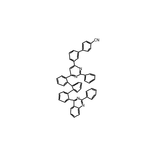 N#Cc1ccc(-c2cccc(-c3cc(-c4ccccc4-c4ccccc4-c4ccccc4-c4nc(-c5ccccc5)nc5ccccc45)nc(-c4ccccc4)n3)c2)cc1